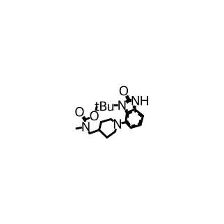 CN(CC1CCN(c2cccc3[nH]c(=O)n(C)c23)CC1)C(=O)OC(C)(C)C